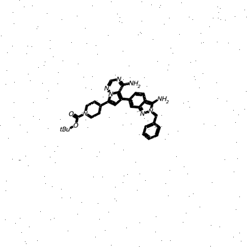 CC(C)(C)OC(=O)N1CCC(c2cc(-c3ccc4c(N)n(Cc5ccccc5)nc4c3)c3c(N)ncnn23)CC1